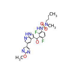 CCCCN(C)S(=O)(=O)Nc1ccc(F)c(C(=O)c2c[nH]c3ncc(-c4cnc(OC)nc4)cc23)c1F